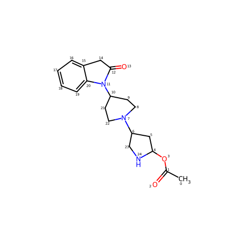 CC(=O)OC1CC(N2CCC(N3C(=O)Cc4ccccc43)CC2)CN1